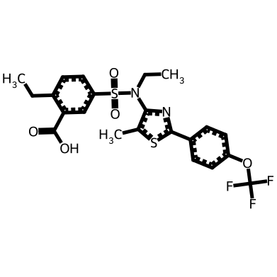 CCc1ccc(S(=O)(=O)N(CC)c2nc(-c3ccc(OC(F)(F)F)cc3)sc2C)cc1C(=O)O